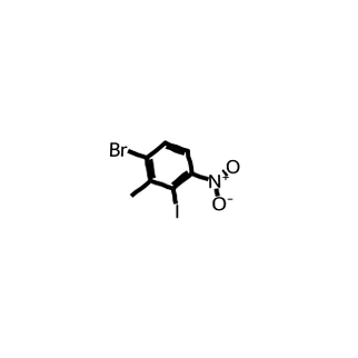 Cc1c(Br)ccc([N+](=O)[O-])c1I